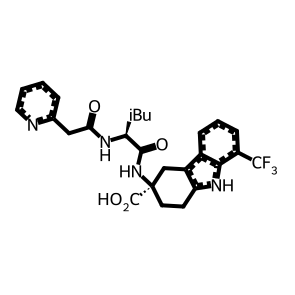 CCC(C)[C@H](NC(=O)Cc1ccccn1)C(=O)N[C@]1(C(=O)O)CCc2[nH]c3c(C(F)(F)F)cccc3c2C1